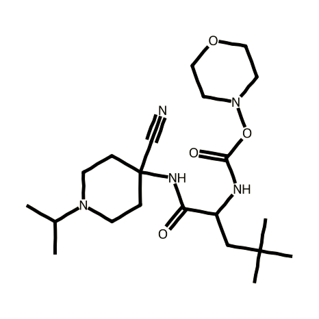 CC(C)N1CCC(C#N)(NC(=O)C(CC(C)(C)C)NC(=O)ON2CCOCC2)CC1